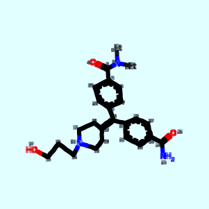 CCN(CC)C(=O)c1ccc(C(=C2CCN(CCCO)CC2)c2ccc(C(N)=O)cc2)cc1